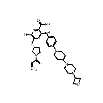 C=CC(=O)N1CC[C@@H](Oc2nc(Nc3ccc(N4CCC(N5CCN(C6COC6)CC5)CC4)cc3)c(C(N)=O)nc2CC)C1